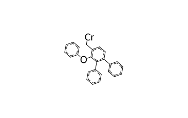 [Cr][CH2]c1ccc(-c2ccccc2)c(-c2ccccc2)c1Oc1ccccc1